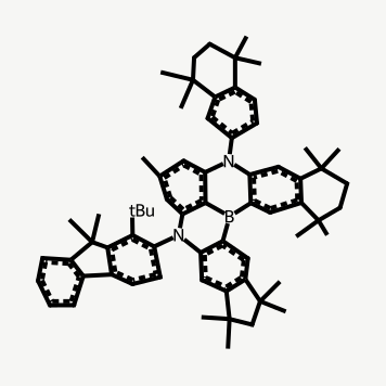 Cc1cc2c3c(c1)N(c1ccc4c(c1C(C)(C)C)C(C)(C)c1ccccc1-4)c1cc4c(cc1B3c1cc3c(cc1N2c1ccc2c(c1)C(C)(C)CCC2(C)C)C(C)(C)CCC3(C)C)C(C)(C)CC4(C)C